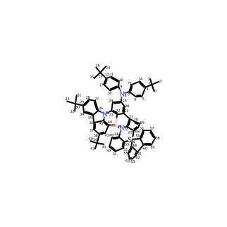 CC(C)(C)c1ccc(N(c2ccc(C(C)(C)C)cc2)c2cc3c4c(c2)-n2c5ccc(C(C)(C)C)cc5c5cc(C(C)(C)C)cc(c52)B4N2c4ccccc4[Si]4(c5ccccc5-c5ccccc54)c4cccc-3c42)cc1